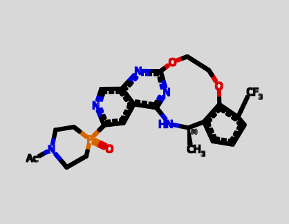 CC(=O)N1CCP(=O)(c2cc3c4nc(nc3cn2)OCCOc2c(cccc2C(F)(F)F)[C@@H](C)N4)CC1